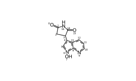 O=C1CC(c2cn(O)c3ncccc23)C(=O)N1